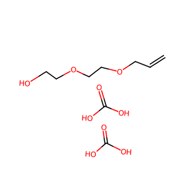 C=CCOCCOCCO.O=C(O)O.O=C(O)O